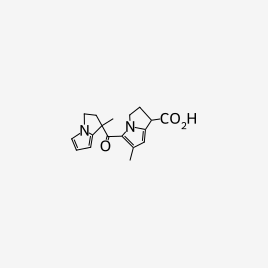 Cc1cc2n(c1C(=O)C1(C)CCn3cccc31)CCC2C(=O)O